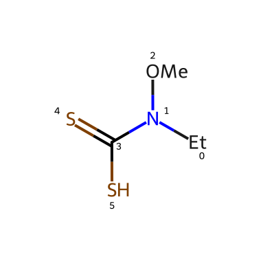 CCN(OC)C(=S)S